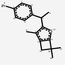 Cc1c(C(C)c2ccc(C(C)C)cc2)sc2c1CC2(C)C